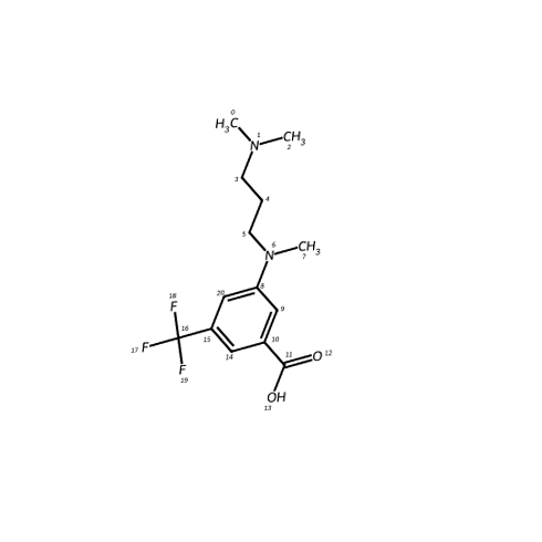 CN(C)CCCN(C)c1cc(C(=O)O)cc(C(F)(F)F)c1